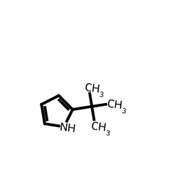 CC(C)(C)c1ccc[nH]1